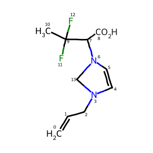 C=CCN1C=CN(C(C(=O)O)C(C)(F)F)C1